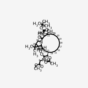 COC(=O)CNC(=O)C(OC(C)=O)[C@@H]1CCCCCCCCCC(C)(C)[C@H](NC(=O)OC(C)(C)C)C(=O)N2CC3[C@@H]([C@H]2C(=O)N1)C3(C)C